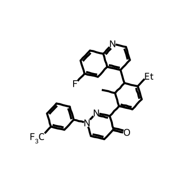 CCC1=CC=C(c2nn(-c3cccc(C(F)(F)F)c3)ccc2=O)C(C)C1c1ccnc2ccc(F)cc12